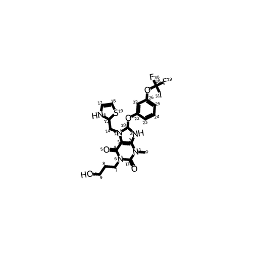 Cn1c2c(c(=O)n(CCCO)c1=O)N(CC1NC=CS1)C(Oc1cccc(OC(F)(F)I)c1)N2